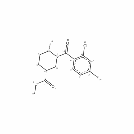 COC(=O)[C@@H]1CC[C@H](C)N(C(=O)c2ccc(F)cc2Cl)C1